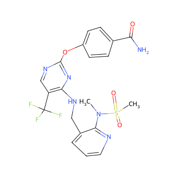 CN(c1ncccc1CNc1nc(Oc2ccc(C(N)=O)cc2)ncc1C(F)(F)F)S(C)(=O)=O